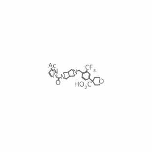 CC(=O)c1ccn(C(=O)N2CC3CN(Cc4ccc(C5(C(=O)O)CCOCC5)cc4C(F)(F)F)CC3C2)n1